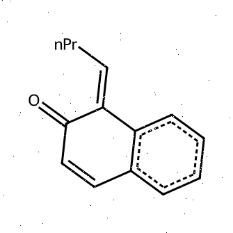 CCCC=C1C(=O)C=Cc2ccccc21